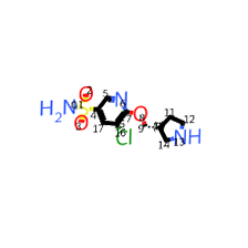 NS(=O)(=O)c1cnc(OC[C@@H]2CCNC2)c(Cl)c1